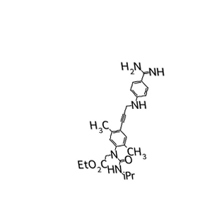 CCOC(=O)CN(C(=O)NC(C)C)c1cc(C)c(C#CCNc2ccc(C(=N)N)cc2)cc1C